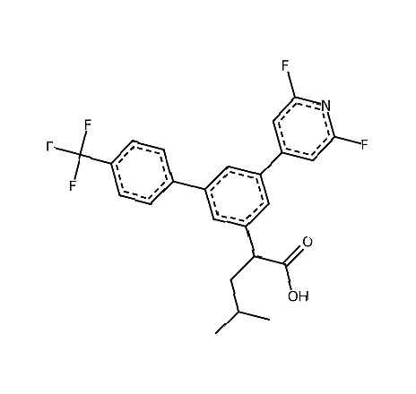 CC(C)CC(C(=O)O)c1cc(-c2ccc(C(F)(F)F)cc2)cc(-c2cc(F)nc(F)c2)c1